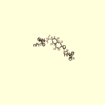 CCCS(=O)(=O)NCC(C)c1ccc2cc(OCCNS(C)(=O)=O)ccc2c1